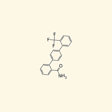 NC(=O)c1ccccc1-c1ccc(-c2ccccc2C(F)(F)F)cc1